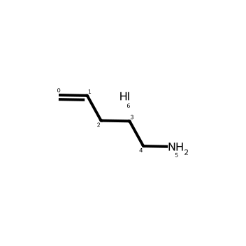 C=CCCCN.I